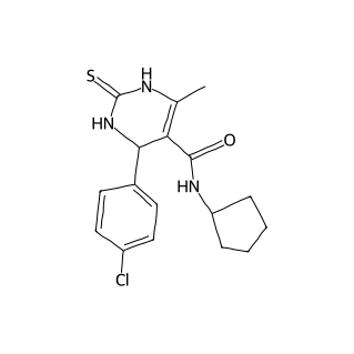 CC1=C(C(=O)NC2CCCC2)C(c2ccc(Cl)cc2)NC(=S)N1